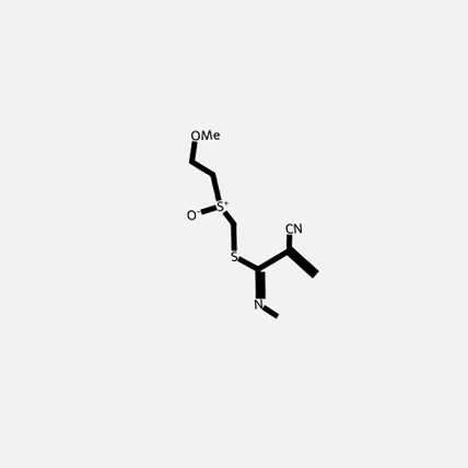 C=C(C#N)/C(=N\C)SC[S+]([O-])CCOC